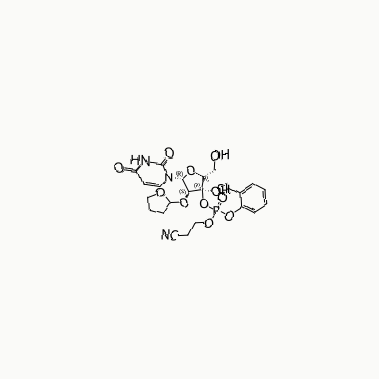 N#CCCOP(=O)(Oc1ccccc1Cl)O[C@]1(O)[C@@H](CO)O[C@@H](n2ccc(=O)[nH]c2=O)[C@@H]1OC1CCCO1